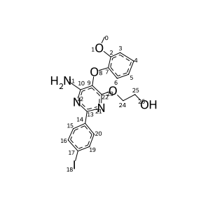 COc1ccccc1Oc1c(N)nc(-c2ccc(I)cc2)nc1OCCO